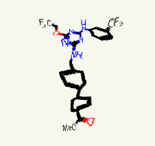 COC(=O)c1ccc(-c2ccc(CNc3nc(Nc4cccc(C(F)(F)F)c4)nc(OCC(F)(F)F)n3)cc2)cc1